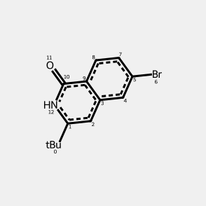 CC(C)(C)c1cc2cc(Br)ccc2c(=O)[nH]1